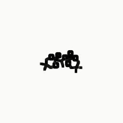 CC(OP1(=O)OCC(C)(C)CO1)P1(=O)OCC(C)(C)CO1